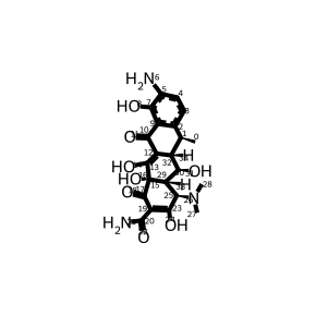 C[C@@H]1c2ccc(N)c(O)c2C(=O)C2=C(O)[C@@]3(O)C(=O)C(C(N)=O)=C(O)[C@H](N(C)C)[C@H]3[C@H](O)[C@H]21